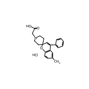 Cc1ccc2c(c1)C(c1ccccc1)=CC1(CCN(CC(=O)O)CC1)O2.Cl